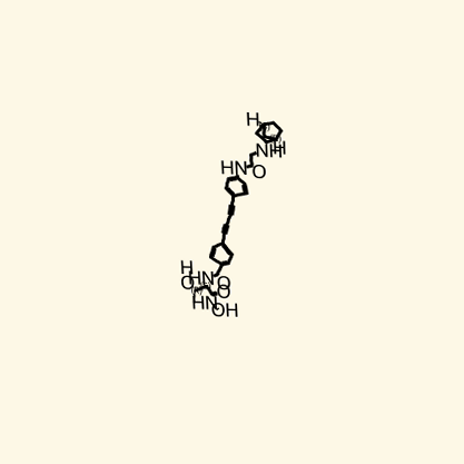 C[C@@H](O)[C@H](NC(=O)c1ccc(C#CC#Cc2ccc(NC(=O)CNC3C[C@H]4CC[C@@H]3C4)cc2)cc1)C(=O)NO